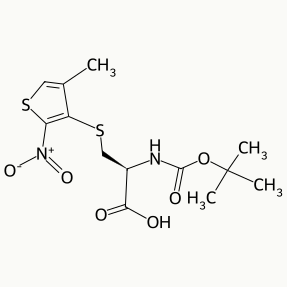 Cc1csc([N+](=O)[O-])c1SC[C@@H](NC(=O)OC(C)(C)C)C(=O)O